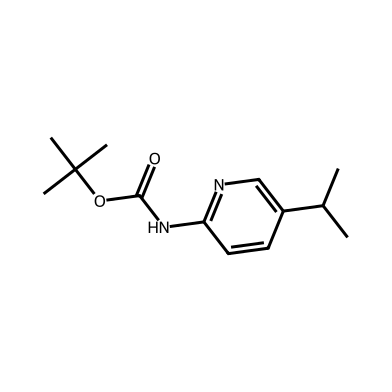 CC(C)c1ccc(NC(=O)OC(C)(C)C)nc1